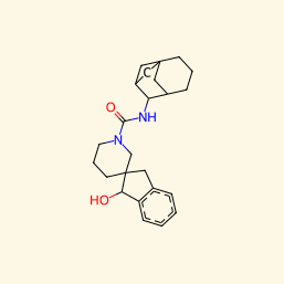 O=C(NC1C2CCCC3(C2)CC1C3)N1CCCC2(Cc3ccccc3C2O)C1